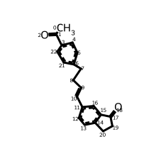 CC(=O)c1ccc(CCC=Cc2ccc3c(c2)C(=O)CC3)cc1